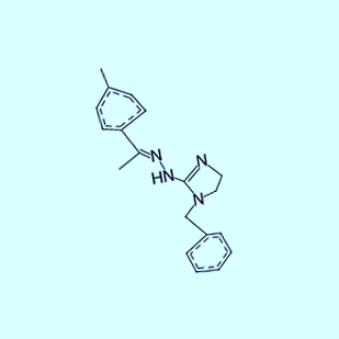 C/C(=N\NC1=NCCN1Cc1ccccc1)c1ccc(C)cc1